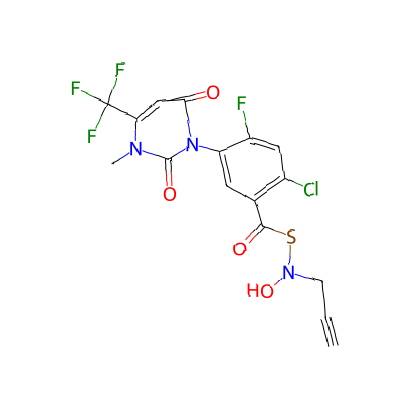 C#CCN(O)SC(=O)c1cc(-n2c(=O)cc(C(F)(F)F)n(C)c2=O)c(F)cc1Cl